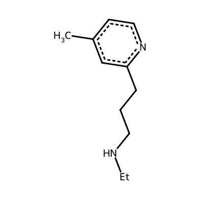 CCNCCCc1cc(C)ccn1